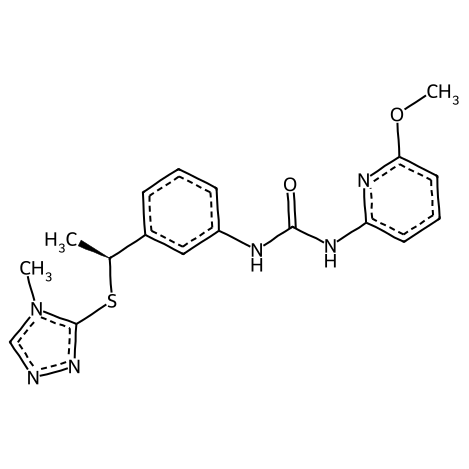 COc1cccc(NC(=O)Nc2cccc([C@H](C)Sc3nncn3C)c2)n1